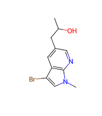 CC(O)Cc1cnc2c(c1)c(Br)cn2C